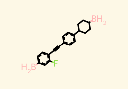 Bc1ccc(C#Cc2ccc(C3CCC(B)CC3)cc2)c(F)c1